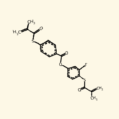 C=C(C)C(=O)Sc1ccc(C(=O)Oc2ccc(SC(=O)C(=C)C)c(F)c2)cc1